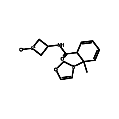 CC1(N2C=COC2)C=CC=CC1C(=O)NC1C[S+]([O-])C1